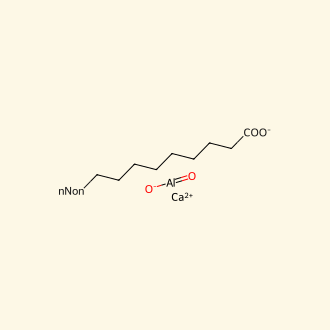 CCCCCCCCCCCCCCCCCC(=O)[O-].[Ca+2].[O]=[Al][O-]